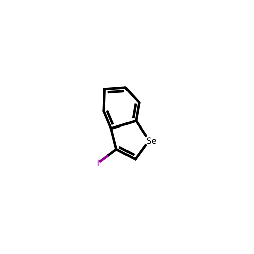 Ic1c[se]c2ccccc12